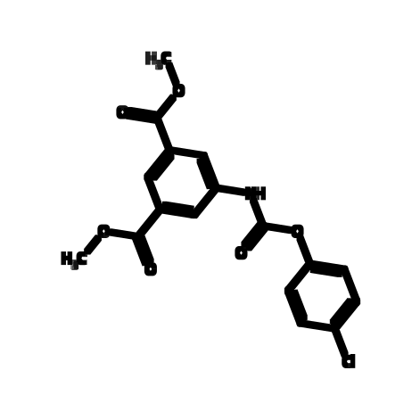 COC(=O)c1cc(NC(=O)Oc2ccc(Cl)cc2)cc(C(=O)OC)c1